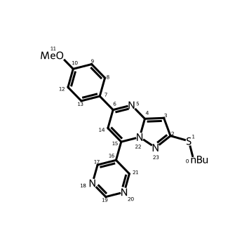 CCCCSc1cc2nc(-c3ccc(OC)cc3)cc(-c3cncnc3)n2n1